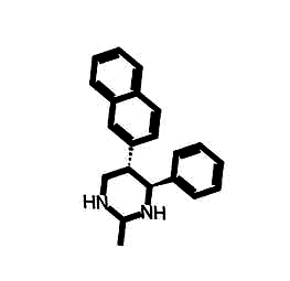 CC1NC[C@H](c2ccc3ccccc3c2)[C@@H](c2ccccc2)N1